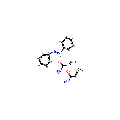 C=CC(N)=O.C=CC(N)=O.c1ccc(N=Nc2ccccc2)cc1